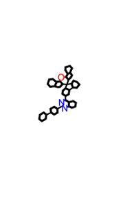 c1ccc(-c2ccc(-c3nc(-c4ccc5c(c4)-c4ccccc4C54c5ccc6ccccc6c5Oc5c4ccc4ccccc54)c4ccccc4n3)cc2)cc1